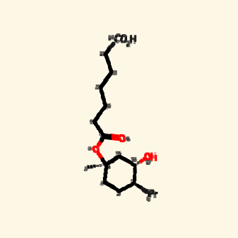 CC(C)[C@H]1CC[C@@](C)(OC(=O)CCCCCC(=O)O)C[C@@H]1O